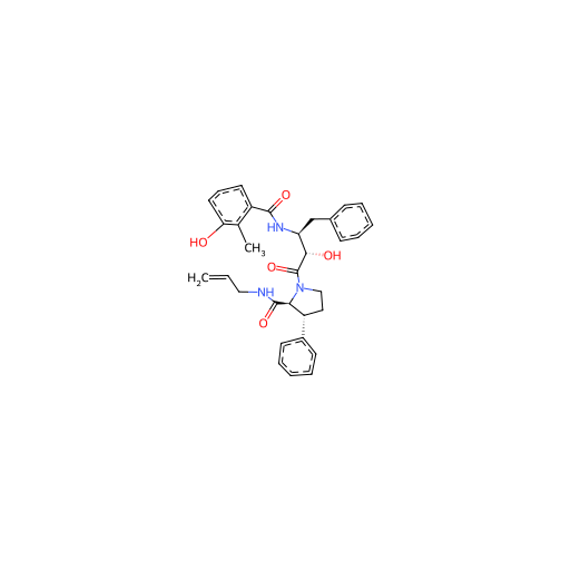 C=CCNC(=O)[C@@H]1[C@@H](c2ccccc2)CCN1C(=O)[C@@H](O)[C@H](Cc1ccccc1)NC(=O)c1cccc(O)c1C